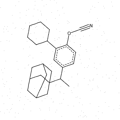 CC(c1ccc(OC#N)c(C2CCCCC2)c1)C12CC3CC(CC(C3)C1)C2